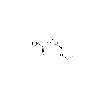 CC(C)OC[C@@H]1C[C@H]1C(N)=O